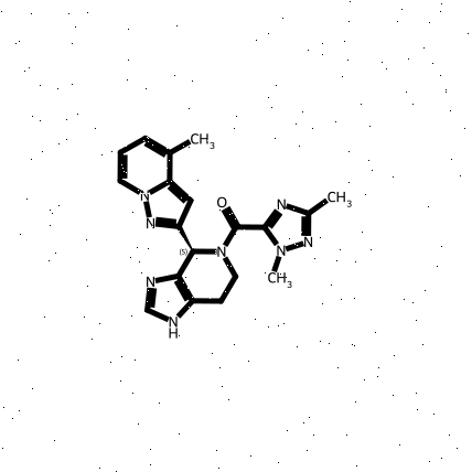 Cc1nc(C(=O)N2CCc3[nH]cnc3[C@H]2c2cc3c(C)cccn3n2)n(C)n1